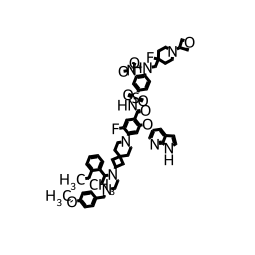 COc1ccc(CN2CCN(C3CC4(CCN(c5cc(Oc6cnc7[nH]ccc7c6)c(C(=O)NS(=O)(=O)c6ccc(NCC7(F)CCN(C8COC8)CC7)c([N+](=O)[O-])c6)cc5F)CC4)C3)C(c3ccccc3C(C)C)C2)cc1